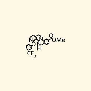 COC(=O)c1ccc([C@H](C)Nc2nccc3ccnc(Oc4cccc(C(F)(F)F)c4)c23)cc1